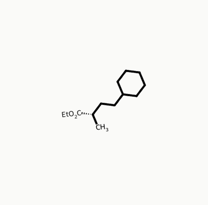 CCOC(=O)[C@@H](C)CCC1CCCCC1